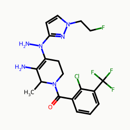 CC1C(N)=C(N(N)c2ccn(CCF)n2)CCN1C(=O)c1cccc(C(F)(F)F)c1Cl